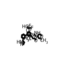 C[C@H]1C[C@@H](N2C(=N)N[C@](C)(c3cccc(-c4cccc(-c5ccn[nH]5)c4)c3Cl)CC2=O)CCO1.O=C(O)C(F)(F)F